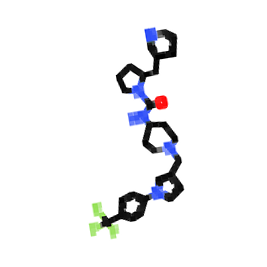 O=C(NC1CCN(Cc2ccn(-c3ccc(C(F)(F)F)cc3)c2)CC1)N1CCCC1Cc1cccnc1